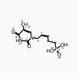 Cc1cn(C/C=C\CCP(=O)(O)O)c(=O)[nH]c1=O